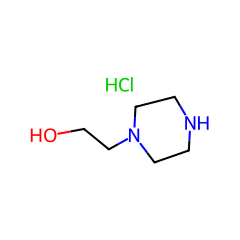 Cl.OCCN1CCNCC1